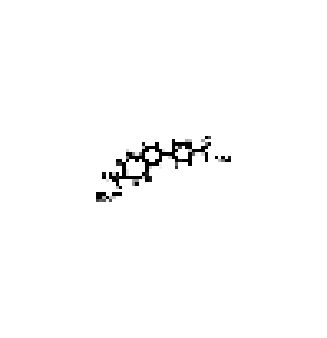 COC(=O)c1ccc(-c2ccc3c(c2)CCN(C(=O)OC(C)(C)C)CC3)nc1